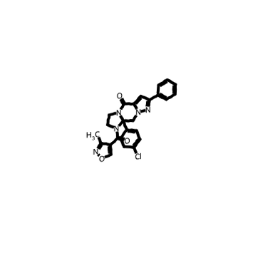 Cc1nocc1C(=O)N1CCN2C(=O)c3cc(-c4ccccc4)nn3CC12C1=CC=C(Cl)CC1